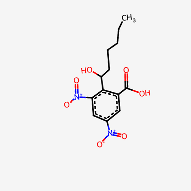 CCCCCC(O)c1c(C(=O)O)cc([N+](=O)[O-])cc1[N+](=O)[O-]